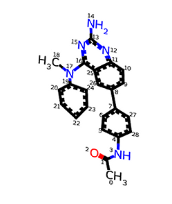 CC(=O)Nc1ccc(-c2ccc3nc(N)nc(N(C)c4ccccc4)c3c2)cc1